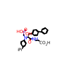 CC(C)c1ccc(N(CP(=O)(O)O)[C@@H](Cc2ccc(-c3ccccc3)cc2)C(=O)NCCC(=O)O)cc1